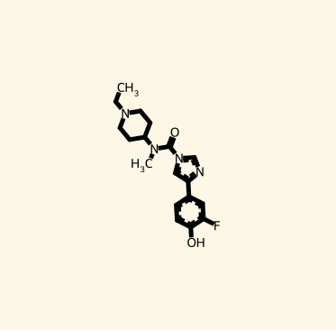 CCN1CCC(N(C)C(=O)n2cnc(-c3ccc(O)c(F)c3)c2)CC1